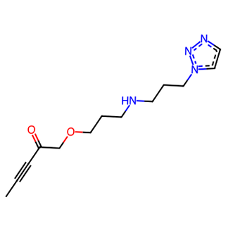 CC#CC(=O)COCCCNCCCn1ccnn1